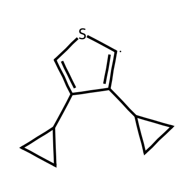 [c]1scc(C2CC2)c1C1CC1